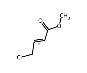 COC(=O)/C=C/CCl